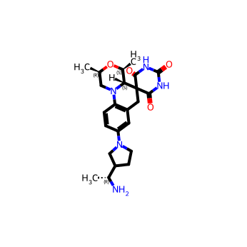 C[C@@H]1CN2c3ccc(N4CCC([C@@H](C)N)C4)cc3CC3(C(=O)NC(=O)NC3=O)[C@H]2[C@H](C)O1